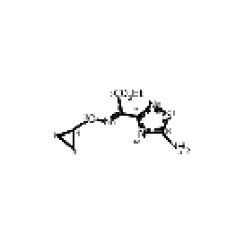 CCOC(=O)C(=NOC1CC1)c1nsc(N)n1